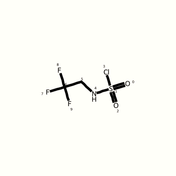 O=S(=O)(Cl)NCC(F)(F)F